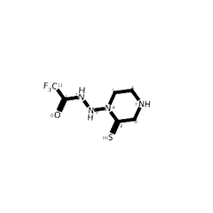 O=C(NNN1CCNCC1=S)C(F)(F)F